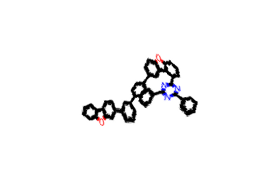 c1ccc(-c2nc(-c3ccccc3)nc(-c3cccc4oc5ccc(-c6ccc(-c7cccc(-c8ccc9c(c8)oc8ccccc89)c7)cc6)cc5c34)n2)cc1